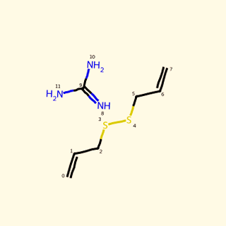 C=CCSSCC=C.N=C(N)N